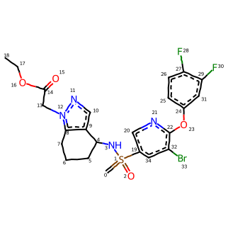 C=S(=O)(NC1CCCc2c1cnn2CC(=O)OCC)c1cnc(Oc2ccc(F)c(F)c2)c(Br)c1